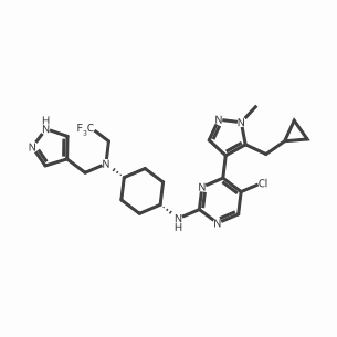 Cn1ncc(-c2nc(N[C@H]3CC[C@@H](N(Cc4cn[nH]c4)CC(F)(F)F)CC3)ncc2Cl)c1CC1CC1